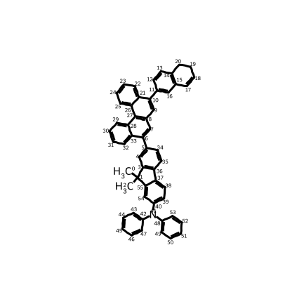 CC1(C)c2cc(-c3cc4cc(-c5ccc6c(c5)C=CCC6)c5ccccc5c4c4ccccc34)ccc2-c2ccc(N(c3ccccc3)c3ccccc3)cc21